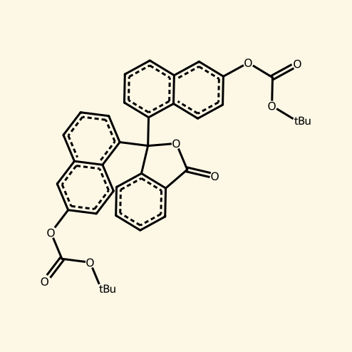 CC(C)(C)OC(=O)Oc1ccc2c(C3(c4cccc5cc(OC(=O)OC(C)(C)C)ccc45)OC(=O)c4ccccc43)cccc2c1